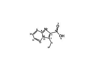 CCc1c(C(=O)O)nc2ccccn12